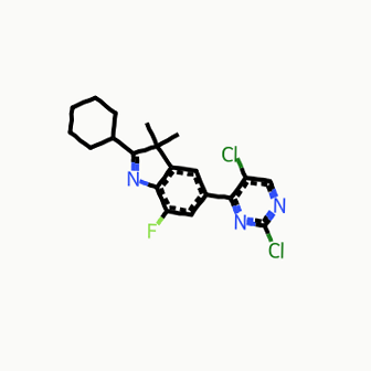 CC1(C)C(C2CCCCC2)=Nc2c(F)cc(-c3nc(Cl)ncc3Cl)cc21